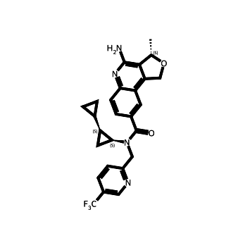 C[C@@H]1OCc2c1c(N)nc1ccc(C(=O)N(Cc3ccc(C(F)(F)F)cn3)[C@H]3C[C@H]3C3CC3)cc21